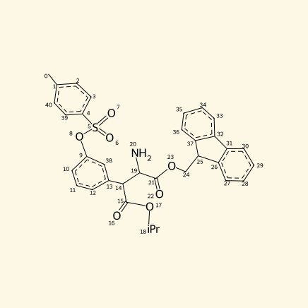 Cc1ccc(S(=O)(=O)Oc2cccc(C(C(=O)OC(C)C)C(N)C(=O)OCC3c4ccccc4-c4ccccc43)c2)cc1